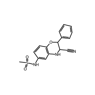 CS(=O)(=O)Nc1ccc2c(c1)NC(C#N)C(c1ccccc1)O2